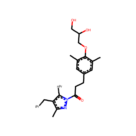 CCCc1c(CC(C)C)c(C)nn1C(=O)CCc1cc(C)c(OCC(O)CO)c(C)c1